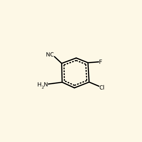 N#Cc1cc(F)c(Cl)cc1N